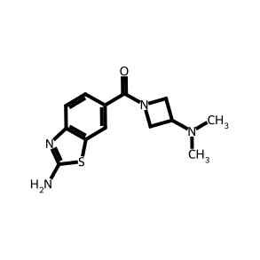 CN(C)C1CN(C(=O)c2ccc3nc(N)sc3c2)C1